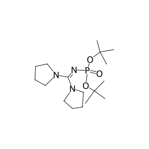 CC(C)(C)OP(=O)(N=C(N1CCCC1)N1CCCC1)OC(C)(C)C